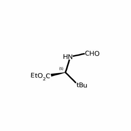 CCOC(=O)[C@@H](NC=O)C(C)(C)C